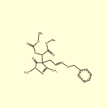 CC1=NN(C)C(=O)C1(CC=NOCc1ccccc1)N(OC(=O)OC(C)(C)C)C(=O)OC(C)(C)C